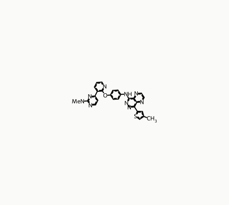 CNc1nccc(-c2cccnc2Oc2ccc(Nc3nnc(-c4cc(C)cs4)c4nccnc34)cc2)n1